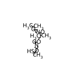 CC(C)OC1CN(C(=O)C(C)(C)CCOC(=O)N2CC(OC(C)S)C2)C1